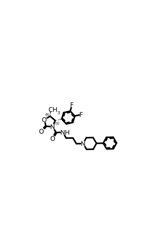 C[C@H]1OC(=O)N(C(=O)NCCCN2CCC(c3ccccc3)CC2)[C@H]1c1ccc(F)c(F)c1